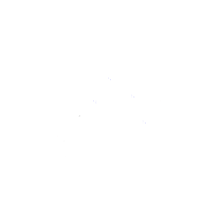 COC1CCC(Nc2nc([C@@H](C)OC(=O)c3ccccc3)cc3cnc(SC)nc23)CC1